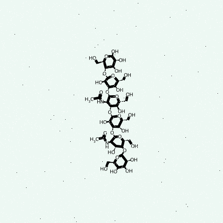 CC(=O)N[C@H]1[C@H](O[C@H]2[C@@H](O)[C@@H](CO)O[C@@H](O[C@H]3[C@H](O)[C@@H](CO)O[C@@H](O[C@H]4[C@@H](O)[C@@H](CO)O[C@@H](O[C@H]5[C@H](O)[C@@H](O)[C@H](O)O[C@@H]5CO)[C@@H]4O)[C@@H]3NC(C)=O)[C@@H]2O)O[C@H](CO)[C@@H](O[C@@H]2O[C@H](CO)[C@H](O)[C@H](O)[C@H]2O)[C@@H]1O